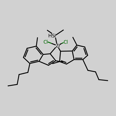 CCCCc1ccc(C)c2c1C=C(C)[CH]2[Zr]([Cl])([Cl])([CH]1C(C)=Cc2c(CCCC)ccc(C)c21)[SiH](C)C